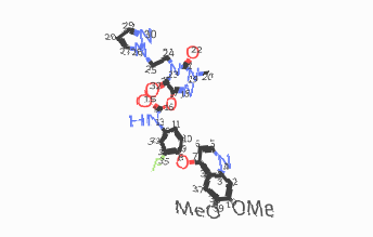 COc1cc2nccc(Oc3ccc(NC(=O)Oc4nn(C)c(=O)n(CCn5cccn5)c4=O)cc3F)c2cc1OC